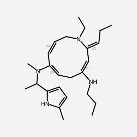 CC/C=C1/C=C(/NCCC)C/C=C(N(C)C(C)c2ccc(C)[nH]2)\C=C/CN1CC